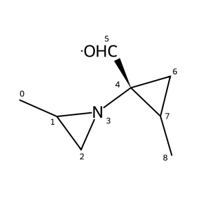 CC1CN1[C@]1([C]=O)CC1C